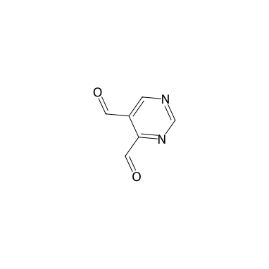 O=Cc1cncnc1C=O